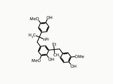 CCCC(C)(Cc1cc(OC)c(O)c(C(C)(CC)Cc2ccc(O)c(OC)c2)c1)c1ccc(O)c(OC)c1